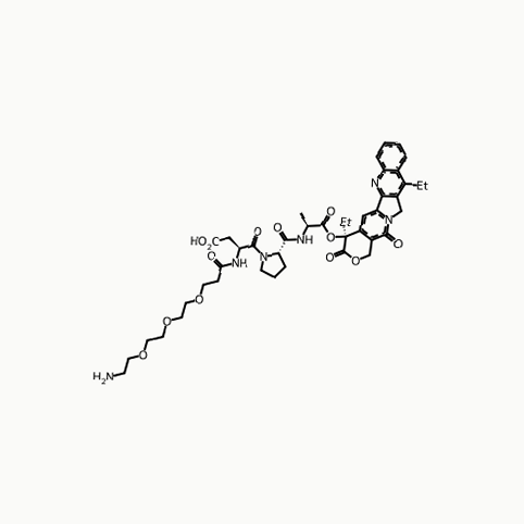 CCc1c2c(nc3ccccc13)-c1cc3c(c(=O)n1C2)COC(=O)[C@@]3(CC)OC(=O)[C@H](C)NC(=O)[C@@H]1CCCN1C(=O)[C@H](CC(=O)O)NC(=O)CCOCCOCCOCCN